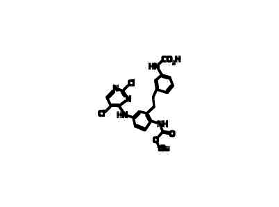 CC(C)(C)OC(=O)Nc1ccc(Nc2nc(Cl)ncc2Cl)cc1CCc1cccc(NC(=O)O)c1